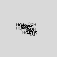 CO[C@@H]1OC(CO)[C@@H](O[C@@H]2OC(CO)[C@H](O)C(O)[C@@H]2O[C@H]2OC(C)[C@H](O)C(O)[C@@H]2O)C(O)[C@@H]1NC(C)=O